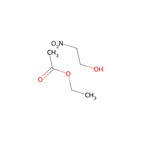 CCOC(C)=O.O=[N+]([O-])CCO